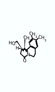 Cc1cc2c(cc1C)C13C[C@H](C)[C@@H](CO)[C@@H]1CC(=O)N3CC2